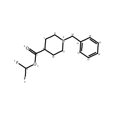 O=C(OC(F)F)C1CCN(Cc2ccccc2)CC1